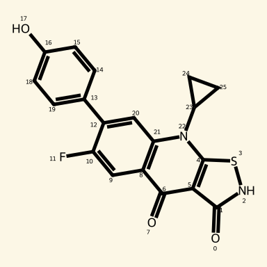 O=c1[nH]sc2c1c(=O)c1cc(F)c(-c3ccc(O)cc3)cc1n2C1CC1